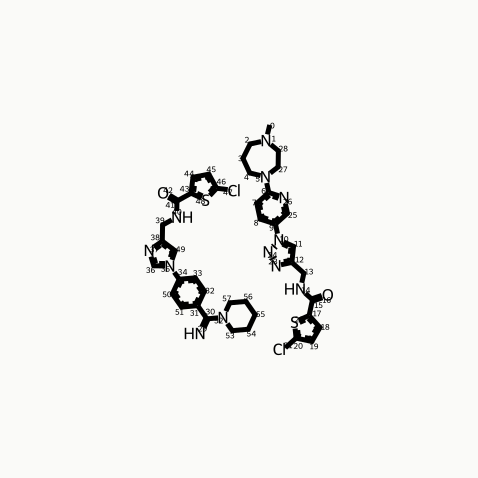 CN1CCCN(c2ccc(-n3cc(CNC(=O)c4ccc(Cl)s4)nn3)cn2)CC1.N=C(c1ccc(-n2cnc(CNC(=O)c3ccc(Cl)s3)c2)cc1)N1CCCCC1